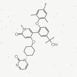 Cc1cc(F)cc(C)c1Oc1ccc(C(C)(C)O)cc1-c1cn(C)c(=O)cc1O[C@H]1CC[C@H](n2cccnc2=O)CC1